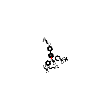 COCCCN1C(=O)COc2ccc(N(C(=O)[C@H]3CN(C(=O)OC(C)(C)C)CC[C@@H]3c3cccc(-c4ccc(OCCN(C)C)cc4)c3)C3CC3)cc21